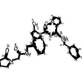 Cc1cc2c(CNC(=O)CN3CCCC3=O)cccc2n1-c1nc(NCc2ccccc2)c2cccn2n1